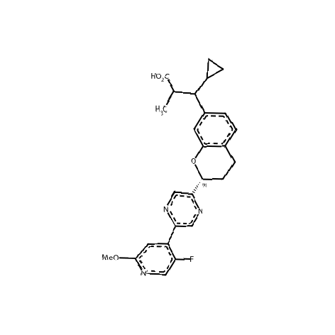 COc1cc(-c2cnc([C@H]3CCc4ccc(C(C5CC5)C(C)C(=O)O)cc4O3)cn2)c(F)cn1